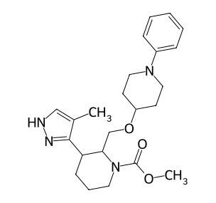 COC(=O)N1CCCC(c2n[nH]cc2C)C1COC1CCN(c2ccccc2)CC1